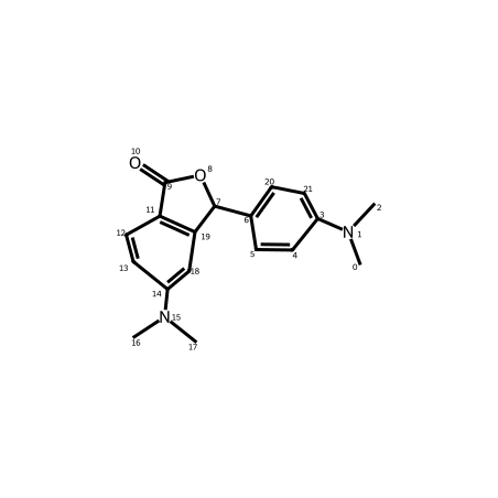 CN(C)c1ccc(C2OC(=O)c3ccc(N(C)C)cc32)cc1